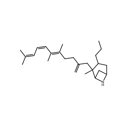 C=C(CC/C(C)=C(C)/C=C\C=C(C)C)CC1(C)C(CCC)CC2CC1N2